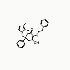 Cc1ccn(CC2(c3ccccc3)CC(O)=C(SCCc3ccccc3)C(=O)O2)c1C